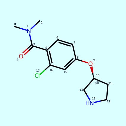 CN(C)C(=O)c1ccc(O[C@H]2CCNC2)cc1Cl